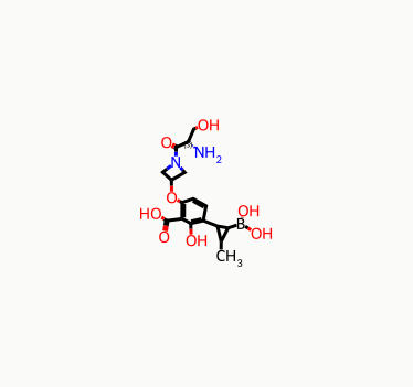 CC1C(B(O)O)C1c1ccc(OC2CN(C(=O)[C@@H](N)CO)C2)c(C(=O)O)c1O